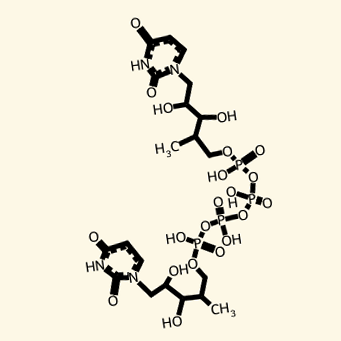 CC(COP(=O)(O)OP(=O)(O)OP(=O)(O)OP(=O)(O)OCC(C)C(O)C(O)Cn1ccc(=O)[nH]c1=O)C(O)C(O)Cn1ccc(=O)[nH]c1=O